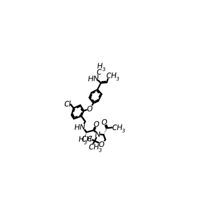 C/C=C(\NC)c1ccc(Oc2cc(Cl)ccc2CN[C@@H](C)C(=O)N2[C@H](C(C)=O)COC2(C)C)cc1